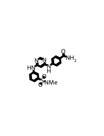 CNS(=O)(=O)c1cccc(Nc2cc(Nc3ccc(C(N)=O)cc3)ncn2)c1